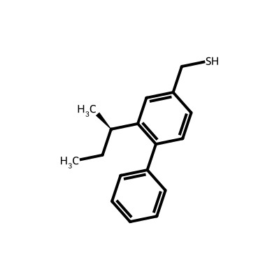 CC[C@@H](C)c1cc(CS)ccc1-c1ccccc1